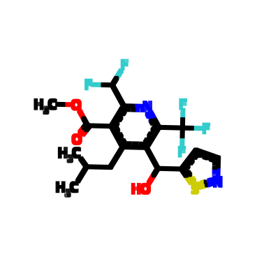 COC(=O)c1c(C(F)F)nc(C(F)(F)F)c(C(O)c2ccns2)c1CC(C)C